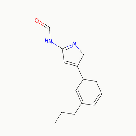 CCCC1=CC(C2=CC(NC=O)=NC2)CC=C1